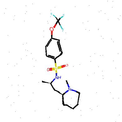 C[C@H](C[C@@H]1CCCCN1C)NS(=O)(=O)c1ccc(OC(F)(F)F)cc1